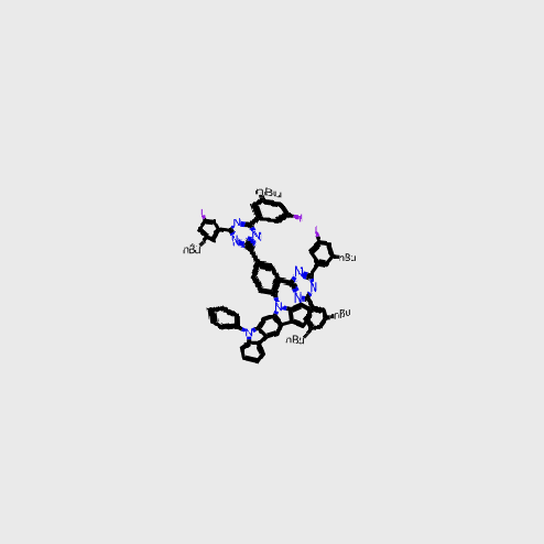 CCCCc1cc(I)cc(-c2nc(-c3cc(I)cc(CCCC)c3)nc(-c3ccc(-n4c5ccccc5c5cc6c7ccccc7n(-c7ccccc7)c6cc54)c(-c4nc(-c5cc(I)cc(CCCC)c5)nc(-c5cc(CCCC)cc(CCCC)c5)n4)c3)n2)c1